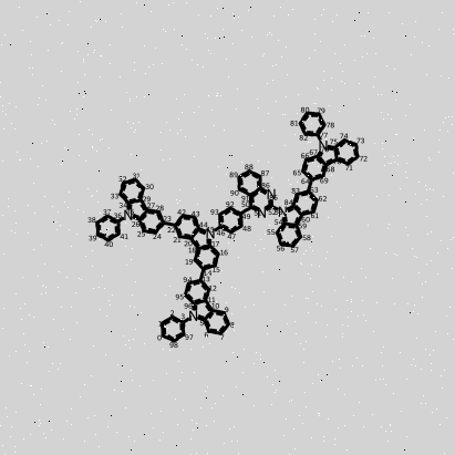 c1ccc(-n2c3ccccc3c3cc(-c4ccc5c(c4)c4cc(-c6ccc7c(c6)c6ccccc6n7-c6ccccc6)ccc4n5-c4ccc(-c5nc(-n6c7ccccc7c7ccc(-c8ccc9c(c8)c8ccccc8n9-c8ccccc8)cc76)nc6ccccc56)cc4)ccc32)cc1